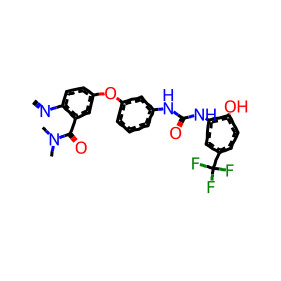 C=Nc1ccc(Oc2cccc(NC(=O)Nc3cc(C(F)(F)F)ccc3O)c2)cc1C(=O)N(C)C